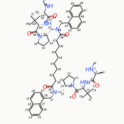 CN[C@@H](C)C(=O)NC(C(=O)N1CCC[C@H]1CN(Cc1cccc2ccccc12)C(=O)CCCCCCCCC(=O)N(Cc1cccc2ccccc12)C[C@@H]1CCCN1C(=O)[C@@H](NC(=O)[C@H](C)NC)C(C)(C)C)C(C)(C)C